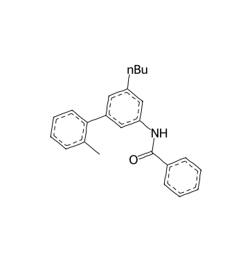 CCCCc1cc(NC(=O)c2ccccc2)cc(-c2ccccc2C)c1